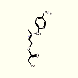 COc1ccc(N/C(C)=C\COC(=O)CC(C)=O)cc1